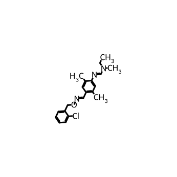 CCN(C)C=Nc1cc(C)c(/C=N/OCc2ccccc2Cl)cc1C